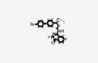 CC(CCNc1n[nH]c(=O)c2ccccc12)c1ccc(-c2ccc(Br)cc2)cc1